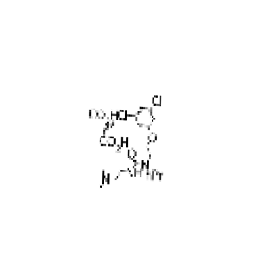 CCCN(CCOc1cc(Cl)cc(Cl)c1)C(=O)NCCN(C)C.O=C(O)C=CC(=O)O